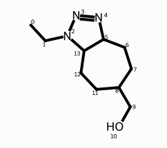 CCN1N=NC2CCC(CO)CCC21